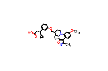 COc1ccc(-c2c(C)noc2C)c(N2CCC(COc3cccc([C@@H](CC(=O)O)C4CC4)c3)CC2)c1